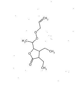 C=CCOOC(C)C1OC(=O)C(CC)C1CC